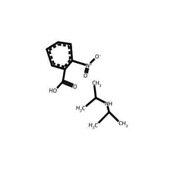 CC(C)NC(C)C.O=C(O)c1ccccc1[N+](=O)[O-]